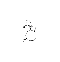 CC(=O)NC1CCC(=O)CCCCC1=O